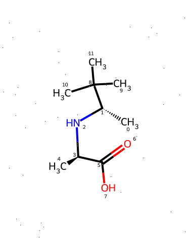 C[C@H](N[C@H](C)C(=O)O)C(C)(C)C